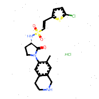 Cc1cc2c(cc1N1CC[C@H](NS(=O)(=O)/C=C/c3ccc(Cl)s3)C1=O)CCNC2.Cl